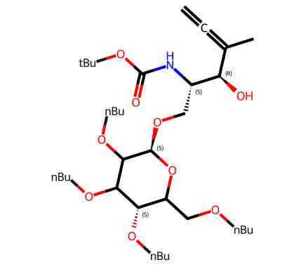 C=C=C(C)[C@@H](O)[C@H](CO[C@H]1OC(COCCCC)[C@H](OCCCC)C(OCCCC)C1OCCCC)NC(=O)OC(C)(C)C